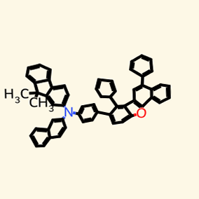 CC1(C)c2ccccc2-c2ccc(N(c3ccc(-c4ccc5oc6c7ccccc7c(-c7ccccc7)cc6c5c4C4C=CC=CC4)cc3)c3ccc4ccccc4c3)cc21